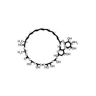 C[C@H]1CC(O)[C@@H](C)/C=C/C=C/C=C/C=C/C=C/C=C/C=C/C(O[C@@H]2OCC(O)[C@H](N)[C@@H]2O)C[C@@H]2OC(O)(CC(O)CC(O)C(O)CCC(O)CC(O)CC(=O)O1)C[C@H](O)C2C(=O)O